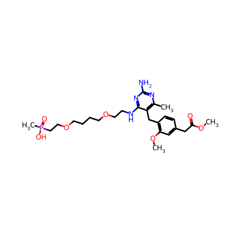 COC(=O)Cc1ccc(Cc2c(C)nc(N)nc2NCCOCCCCOCCP(C)(=O)O)c(OC)c1